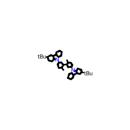 Cc1ccc(-n2c3ccccc3c3cc(C(C)(C)C)ccc32)cc1-c1cc(-n2c3ccccc3c3cc(C(C)(C)C)ccc32)ccc1C